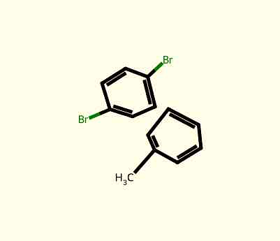 Brc1ccc(Br)cc1.Cc1ccccc1